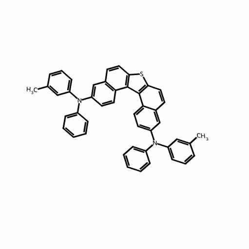 Cc1cccc(N(c2ccccc2)c2ccc3c(ccc4sc5ccc6cc(N(c7ccccc7)c7cccc(C)c7)ccc6c5c43)c2)c1